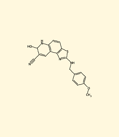 COc1ccc(CNc2nc3c4c(ccc3s2)NC(O)C(C#N)=C4)cc1